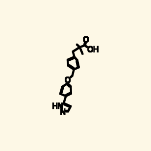 CC(C)(Cc1ccc(COc2ccc(-c3ccn[nH]3)cc2)cc1)C(=O)O